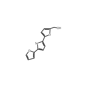 OCc1ccc(-c2ccc(-c3ccco3)[se]2)o1